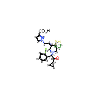 Cl.O=C(O)c1ccn(C/C=C2\CN(C(C(=O)C3CC3)c3ccccc3F)CCC2S)n1